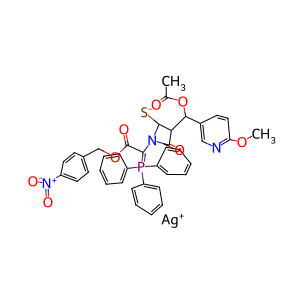 COc1ccc(C(OC(C)=O)C2C(=O)N(C(C(=O)OCc3ccc([N+](=O)[O-])cc3)=P(c3ccccc3)(c3ccccc3)c3ccccc3)C2[S-])cn1.[Ag+]